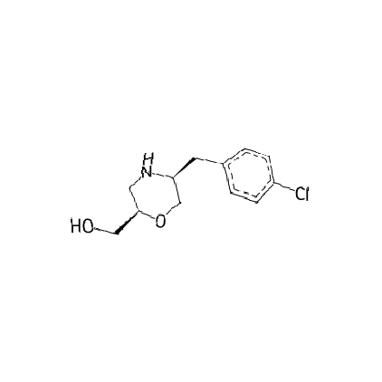 OC[C@H]1CN[C@@H](Cc2ccc(Cl)cc2)CO1